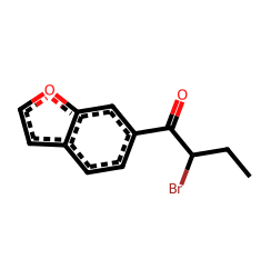 CCC(Br)C(=O)c1ccc2ccoc2c1